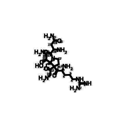 N=C(N)NCCCC(N)C(=O)C1(C(=O)CN)CCN(C(=O)C(N)CC(N)=O)C1(C(=O)O)C(=O)CN